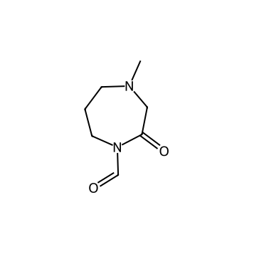 CN1CCCN(C=O)C(=O)C1